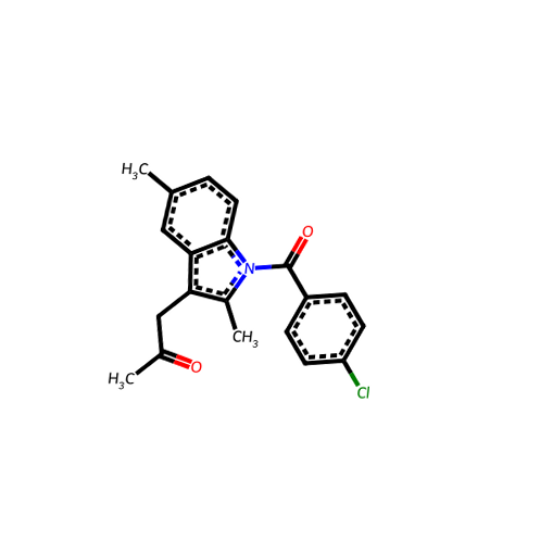 CC(=O)Cc1c(C)n(C(=O)c2ccc(Cl)cc2)c2ccc(C)cc12